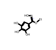 CCO/C(=N/O)c1cc(O)c(O)c(O)c1